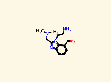 CN(C)Cc1nc2cccc(C=O)c2n1CCN